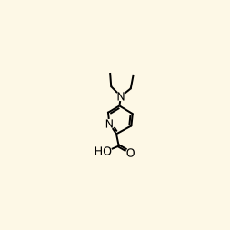 CCN(CC)c1ccc(C(=O)O)nc1